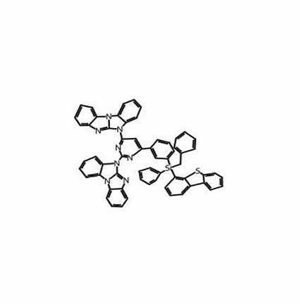 c1ccc(C[Si](c2ccccc2)(c2cccc(-c3cc(-n4c5ccccc5n5c6ccccc6nc45)nc(-n4c5ccccc5n5c6ccccc6nc45)n3)c2)c2cccc3c2sc2ccccc23)cc1